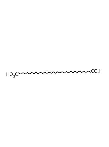 O=C(O)CCCCCCCCCCCCCCCCCCCCCCCCCCCCCCCCCCC(=O)O